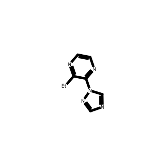 CCc1nccnc1-n1cncn1